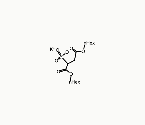 CCCCCCOC(=O)CC(C(=O)OCCCCCC)S(=O)(=O)[O-].[K+]